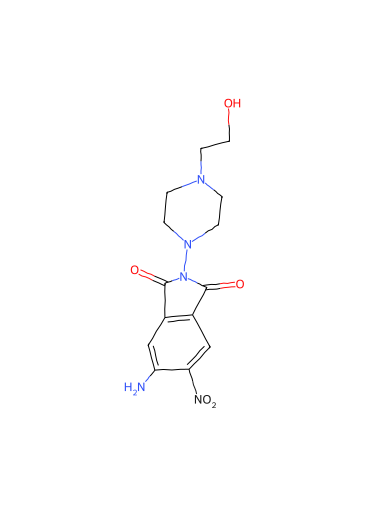 Nc1cc2c(cc1[N+](=O)[O-])C(=O)N(N1CCN(CCO)CC1)C2=O